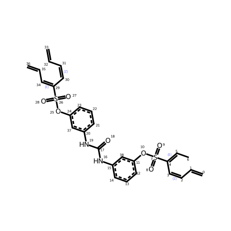 C=C/C=C\C(=C/C)S(=O)(=O)Oc1cccc(NC(=O)Nc2cccc(OS(=O)(=O)C(/C=C\C=C)=C/C=C)c2)c1